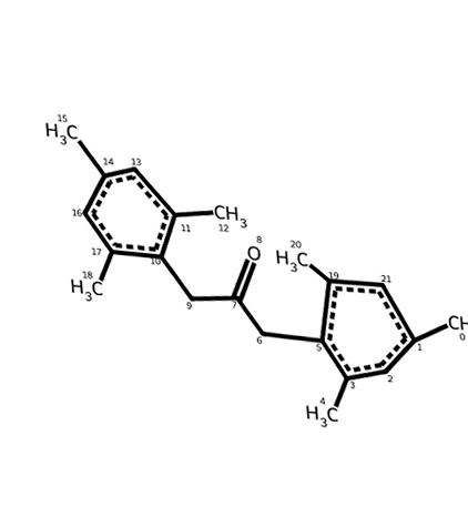 Cc1cc(C)c(CC(=O)Cc2c(C)cc(C)cc2C)c(C)c1